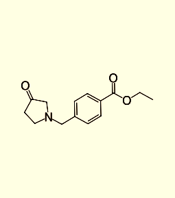 CCOC(=O)c1ccc(CN2CCC(=O)C2)cc1